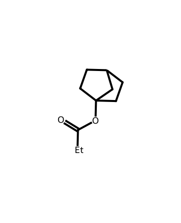 CCC(=O)OC12CCC(CC1)C2